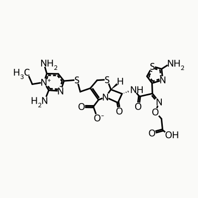 CC[n+]1c(N)cc(SCC2=C(C(=O)[O-])N3C(=O)[C@@H](NC(=O)/C(=N\OCC(=O)O)c4csc(N)n4)[C@H]3SC2)nc1N